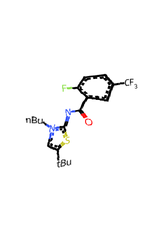 CCCCn1cc(C(C)(C)C)sc1=NC(=O)c1cc(C(F)(F)F)ccc1F